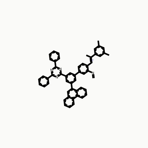 C=Nc1cc(-c2cc(-c3nc(-c4ccccc4)nc(-c4ccccc4)n3)cc(-c3cc4ccccc4c4ccccc34)c2)ccc1/C=C(\C)c1cc(C)cc(C)c1